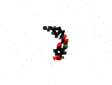 O=C(OCCc1ccc([N+](=O)[O-])cc1)Oc1ccc(CO)cc1Cl